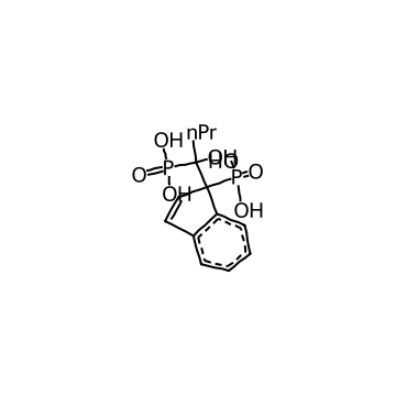 CCCC(O)(C1(P(=O)(O)O)C=Cc2ccccc21)P(=O)(O)O